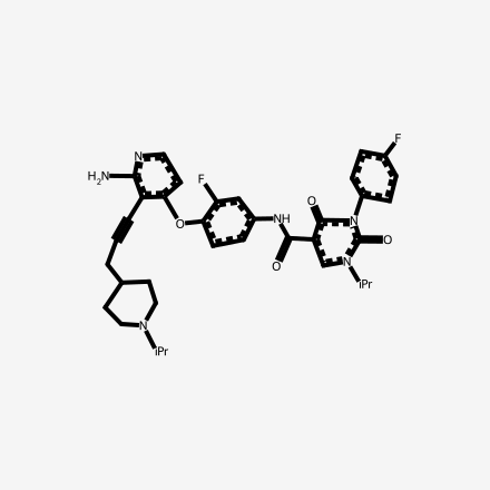 CC(C)N1CCC(CC#Cc2c(Oc3ccc(NC(=O)c4cn(C(C)C)c(=O)n(-c5ccc(F)cc5)c4=O)cc3F)ccnc2N)CC1